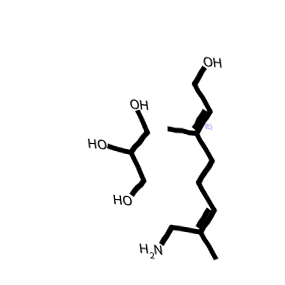 CC(=CCC/C(C)=C/CO)CN.OCC(O)CO